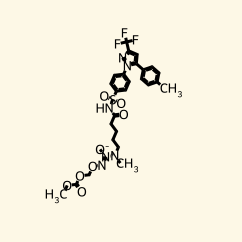 COC(=O)OCON=[N+]([O-])N(C)CCCCC(=O)NS(=O)(=O)c1ccc(-n2nc(C(F)(F)F)cc2-c2ccc(C)cc2)cc1